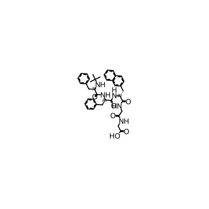 CC(C)(C)N[C@H](Cc1ccccc1)C(=O)N[C@H](Cc1ccccc1)C(=O)N[C@H](Cc1ccc2ccccc2c1)C(=O)NCC(=O)NCC(=O)O